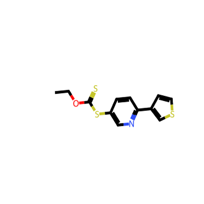 CCOC(=S)Sc1ccc(-c2ccsc2)nc1